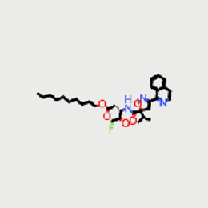 CCCCCCCCCCOC(=O)C[C@H](NC(=O)C1(C(C)C)CC(c2nccc3ccccc23)=NO1)C(=O)CF